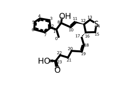 CC(c1ccccc1)C(O)/C=C/[C@H]1CSC[C@@H]1C/C=C\CCCC(=O)O